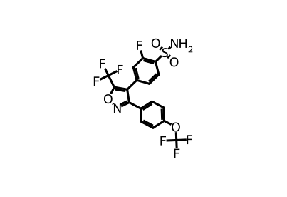 NS(=O)(=O)c1ccc(-c2c(-c3ccc(OC(F)(F)F)cc3)noc2C(F)(F)F)cc1F